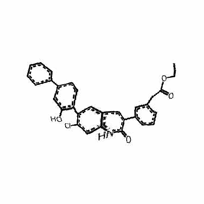 CCOC(=O)Cc1cccc(-c2cc3cc(-c4ccc(-c5ccccc5)cc4O)c(Cl)cc3[nH]c2=O)c1